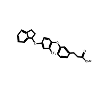 COC(=O)CCc1cccc(Oc2ccc(OC3CCc4ccccc43)cc2C(F)(F)F)c1